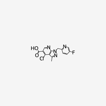 Cc1nn(Cc2ccc(F)cn2)c2ncc(C(=O)O)c(Cl)c12